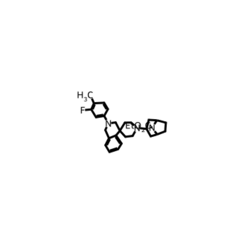 CCOC(=O)N1C2CCC1CC(N1CCC3(CC1)CN(c1ccc(C)c(F)c1)Cc1ccccc13)C2